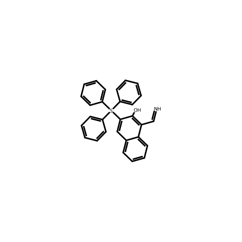 N=Cc1c(O)c(S(c2ccccc2)(c2ccccc2)c2ccccc2)cc2ccccc12